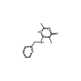 Cc1nc(=O)c(F)c(NCc2ccccn2)[nH]1